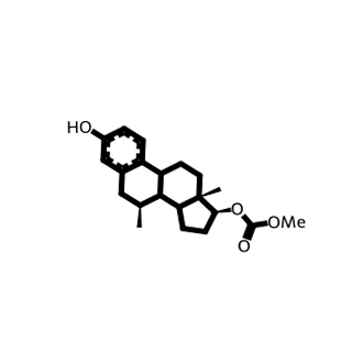 COC(=O)O[C@H]1CCC2C3C(CC[C@@]21C)c1ccc(O)cc1C[C@@H]3C